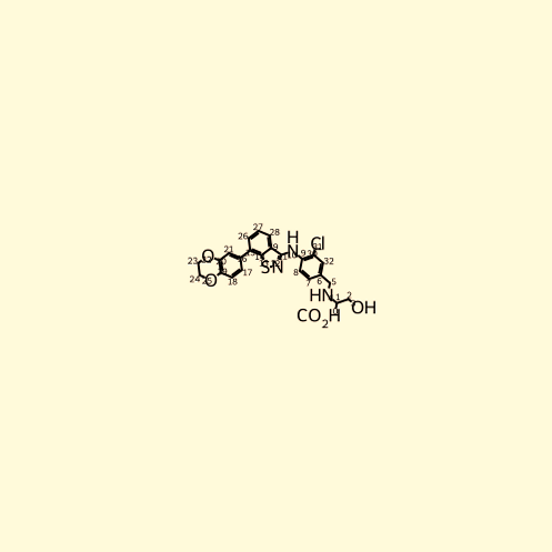 O=C(O)C(CO)NCc1ccc(Nc2nsc3c(-c4ccc5c(c4)OCCO5)cccc23)c(Cl)c1